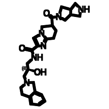 O=C(NC[C@@H](O)CN1CCc2ccccc2C1)c1cn2c(n1)CCC(C(=O)N1CC3CNCC3C1)C2